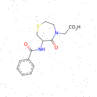 O=C(O)CN1CCSCC(NC(=O)c2ccccc2)C1=O